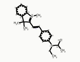 CCN(c1ccc(/C=C/C2=[N+](C)c3ccccc3C2(C)C)cc1)C(C)Cl